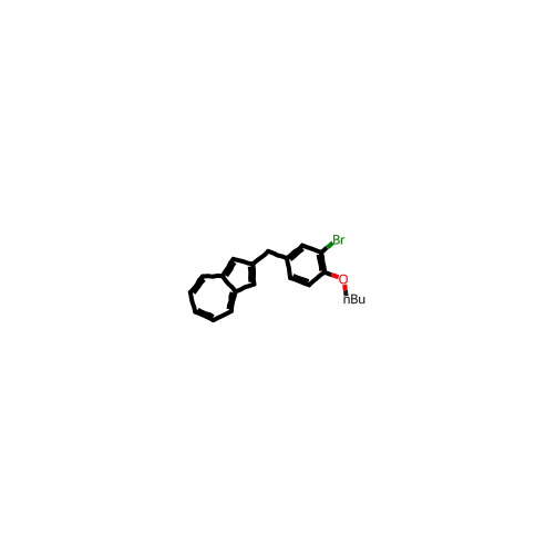 CCCCOc1ccc(Cc2cc3cccccc-3c2)cc1Br